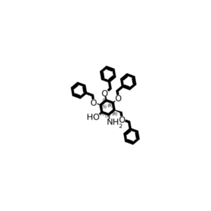 N[C@@H]1[C@@H](O)[C@H](OCc2ccccc2)[C@@H](OCc2ccccc2)[C@H](OCc2ccccc2)[C@H]1COCc1ccccc1